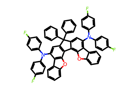 Fc1ccc(N(c2ccc(F)cc2)c2cc3c(c4oc5ccccc5c24)-c2c(cc(N(c4ccc(F)cc4)c4ccc(F)cc4)c4c2oc2ccccc24)C3(c2ccccc2)c2ccccc2)cc1